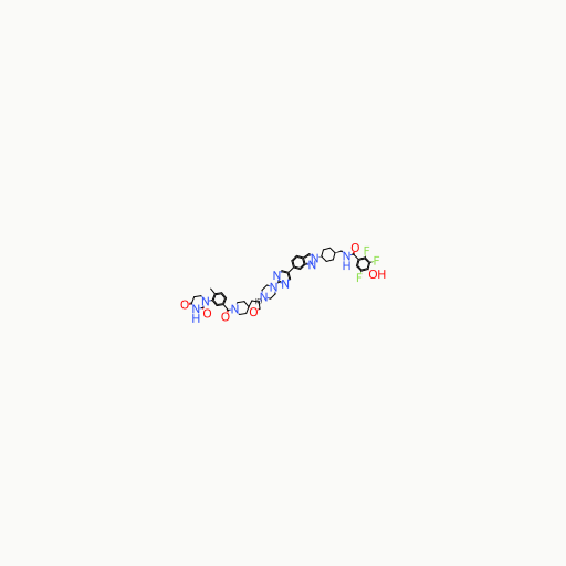 Cc1ccc(C(=O)N2CCC3(CC2)C[C@H](N2CCN(c4ncc(-c5ccc6cn([C@H]7CC[C@H](CNC(=O)c8cc(F)c(O)c(F)c8F)CC7)nc6c5)cn4)CC2)CO3)cc1N1CCC(=O)NC1=O